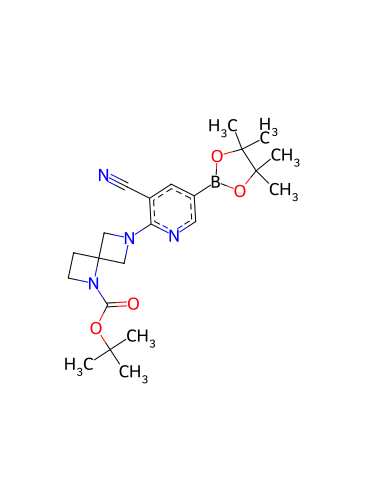 CC(C)(C)OC(=O)N1CCC12CN(c1ncc(B3OC(C)(C)C(C)(C)O3)cc1C#N)C2